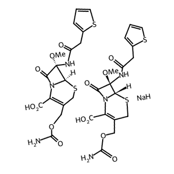 CO[C@@]1(NC(=O)Cc2cccs2)C(=O)N2C(C(=O)O)=C(COC(N)=O)CS[C@@H]21.CO[C@]1(NC(=O)Cc2cccs2)C(=O)N2C(C(=O)O)=C(COC(N)=O)CS[C@H]21.[NaH]